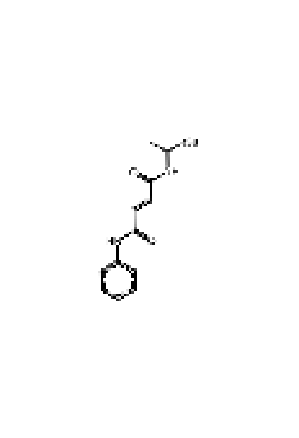 CC(NC(=O)C=CC(=O)Nc1ccccc1)C(C)(C)C